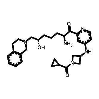 NC(CCC[C@H](O)CN1CCc2ccccc2C1)C(=O)c1cc(NC2CN(C(=O)C3CC3)C2)ccn1